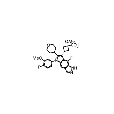 COc1cc(-n2c(C3CCOCC3)c([C@H]3C[C@](OC)(C(=O)O)C3)c3c(F)c4[nH]ncc4cc32)ccc1F